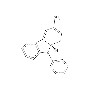 NC1=CC[C@H]2C(=C1)c1ccccc1N2c1ccccc1